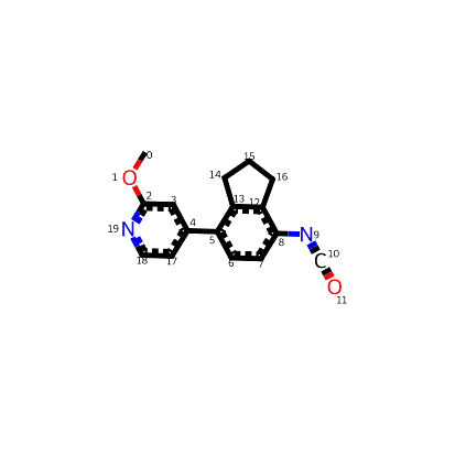 COc1cc(-c2ccc(N=C=O)c3c2CCC3)ccn1